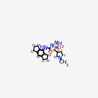 CN1CCC(C[S@@](N)(=O)=NC(=O)Nc2c3c(cc4c2CCC4)CCC3)C1